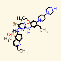 CCOc1cc(N2CCC(N3CCNCC3)CC2)c(CC)cc1Nc1ncc(Br)c(Nc2ccc3nc(CC)ccc3c2P(C)(C)=O)n1